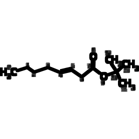 CCCCC=CCC(=O)OC(C)(C)C